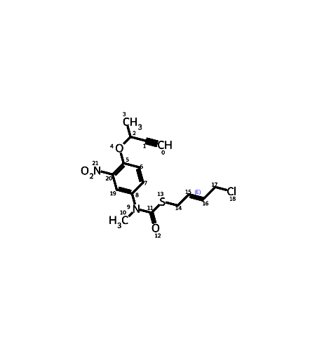 C#CC(C)Oc1ccc(N(C)C(=O)SC/C=C/CCl)cc1[N+](=O)[O-]